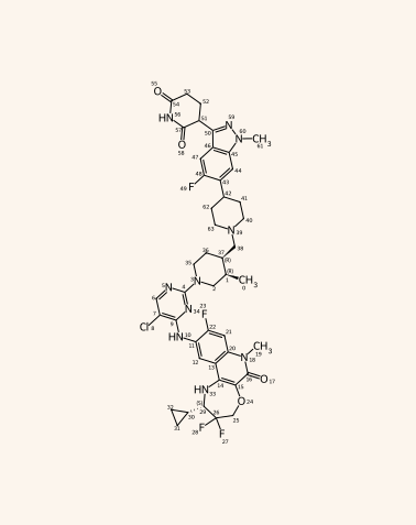 C[C@H]1CN(c2ncc(Cl)c(Nc3cc4c5c(c(=O)n(C)c4cc3F)OCC(F)(F)[C@H](C3CC3)N5)n2)CC[C@H]1CN1CCC(c2cc3c(cc2F)c(C2CCC(=O)NC2=O)nn3C)CC1